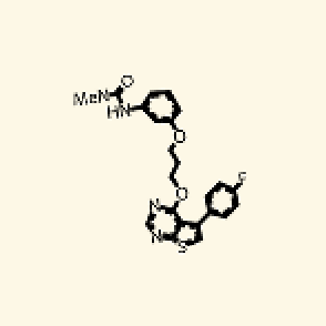 CNC(=O)Nc1cccc(OCCCOc2ncnc3scc(-c4ccc(F)cc4)c23)c1